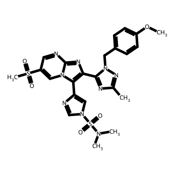 COc1ccc(Cn2nc(C)nc2-c2nc3ncc(S(C)(=O)=O)cn3c2-c2cn(S(=O)(=O)N(C)C)cn2)cc1